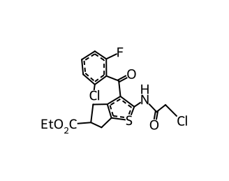 CCOC(=O)C1Cc2sc(NC(=O)CCl)c(C(=O)c3c(F)cccc3Cl)c2C1